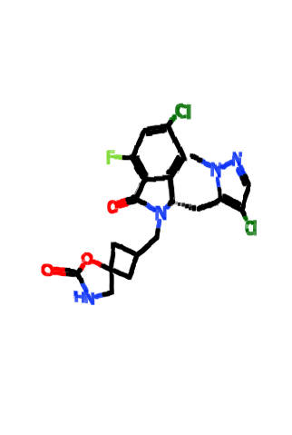 Cn1ncc(Cl)c1C[C@H]1c2cc(Cl)cc(F)c2C(=O)N1CC1CC2(CNC(=O)O2)C1